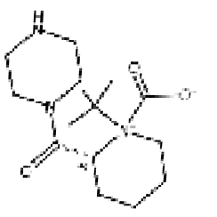 CC(C)(C)[N+]1(C(=O)[O-])CCCC[C@@H]1C(=O)N1CCNCC1